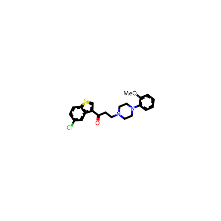 COc1ccccc1N1CCN(CCC(=O)c2csc3ccc(Cl)cc23)CC1